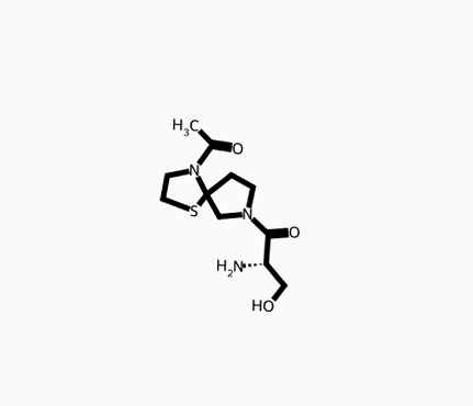 CC(=O)N1CCSC12CCN(C(=O)[C@@H](N)CO)C2